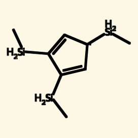 C[SiH2][C]1C=C([SiH2]C)C([SiH2]C)=C1